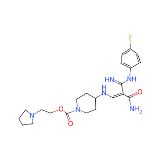 N=C(Nc1ccc(F)cc1)/C(=C\NC1CCN(C(=O)OCCN2CCCC2)CC1)C(N)=O